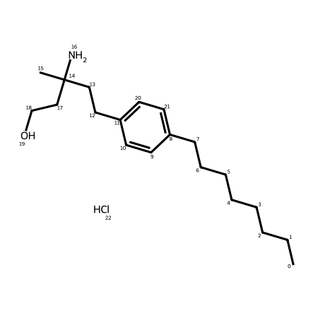 CCCCCCCCc1ccc(CCC(C)(N)CCO)cc1.Cl